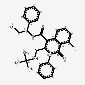 CC[C@H](NC(=O)c1c(CNC(C)(C)C)n(-c2ccccc2)c(=O)c2c(Cl)cccc12)c1ccccc1